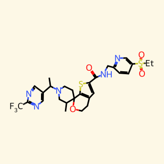 CCS(=O)(=O)c1ccc(CNC(=O)c2cc3c(s2)C2(CCN(C(C)c4cnc(C(F)(F)F)nc4)CC2C)OCC3)nc1